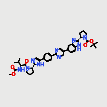 COC(=O)N[C@H](C(=O)N1CCC[C@H]1c1ncc(-c2ccc(-c3ncc(-c4ccc5[nH]c([C@@H]6CCCN6C(=O)OC(C)(C)C)nc5c4)cn3)cc2)[nH]1)C(C)C